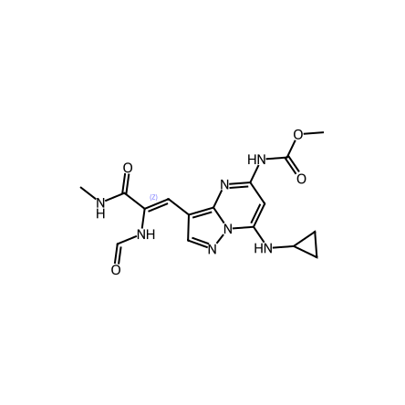 CNC(=O)/C(=C/c1cnn2c(NC3CC3)cc(NC(=O)OC)nc12)NC=O